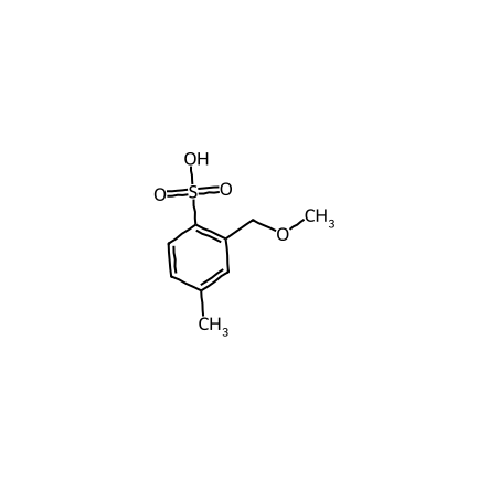 COCc1cc(C)ccc1S(=O)(=O)O